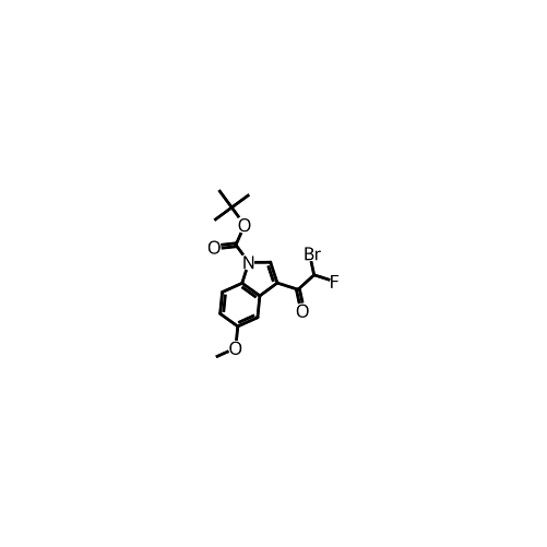 COc1ccc2c(c1)c(C(=O)C(F)Br)cn2C(=O)OC(C)(C)C